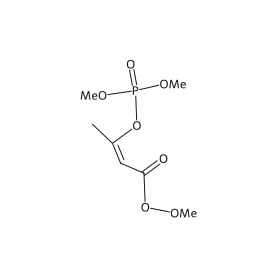 COOC(=O)C=C(C)OP(=O)(OC)OC